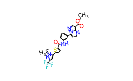 CCOC(=O)c1cnn2c(-c3cccc(NC(=O)c4ccc(-c5cc(C(F)(F)F)nn5C)s4)c3)ccnc12